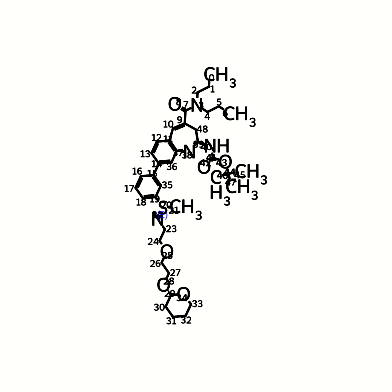 CCCN(CCC)C(=O)C1=Cc2ccc(-c3cccc(/S(C)=N/CCOCCOC4CCCCO4)c3)cc2N=C(NC(=O)OC(C)(C)C)C1